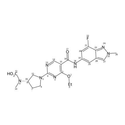 CCOc1nc(N2CC[C@H](N(C)C(=O)O)C2)ncc1C(=O)Nc1cc(F)c2nn(C)cc2c1